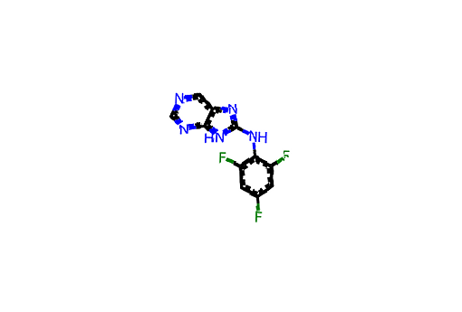 Fc1cc(F)c(Nc2nc3cncnc3[nH]2)c(F)c1